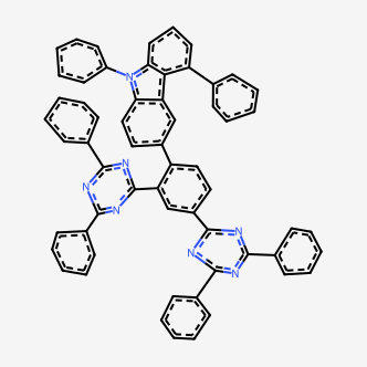 c1ccc(-c2nc(-c3ccccc3)nc(-c3ccc(-c4ccc5c(c4)c4c(-c6ccccc6)cccc4n5-c4ccccc4)c(-c4nc(-c5ccccc5)nc(-c5ccccc5)n4)c3)n2)cc1